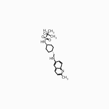 Cc1ccc2cc(NC[C@H]3CC[C@H](NS(=O)(=O)C(C)(C)C)CC3)ccc2n1